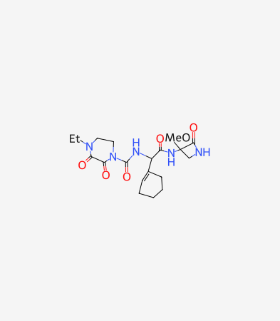 CCN1CCN(C(=O)NC(C(=O)NC2(OC)CNC2=O)C2=CCCCC2)C(=O)C1=O